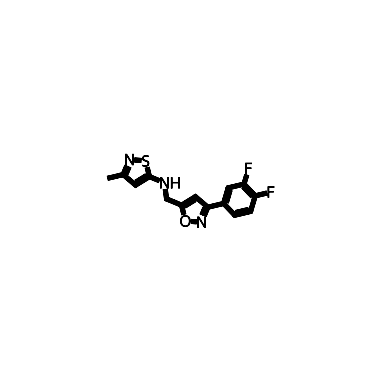 Cc1cc(NCc2cc(-c3ccc(F)c(F)c3)no2)sn1